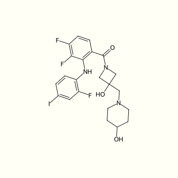 O=C(c1ccc(F)c(F)c1Nc1ccc(I)cc1F)N1CC(O)(CN2CCC(O)CC2)C1